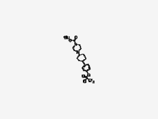 CC(C)(C)OC(=O)N1CCN(C2CCC(c3ccc(OS(=O)(=O)C(F)(F)F)cc3)CC2)CC1